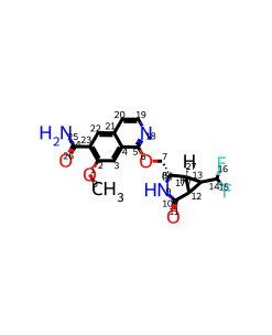 COc1cc2c(OC[C@H]3NC(=O)C4C(C(F)F)[C@@H]43)nccc2cc1C(N)=O